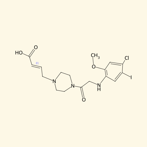 COc1cc(Cl)c(I)cc1NCC(=O)N1CCN(C/C=C/C(=O)O)CC1